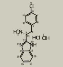 Cl.Cl.N[C@H](Cc1ccc(Cl)cc1)c1nc2ccccc2[nH]1